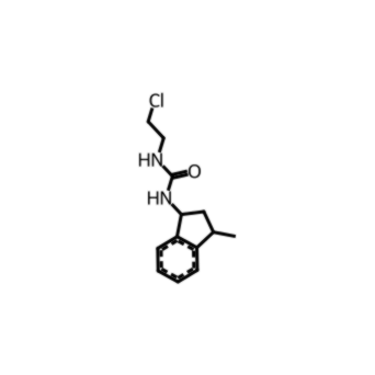 CC1CC(NC(=O)NCCCl)c2ccccc21